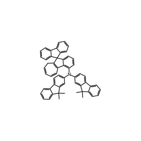 CC1(C)c2ccccc2-c2ccc(N(c3ccc4c(c3)C(C)(C)c3ccccc3-4)c3cccc4c3C3=C(CC=CC=C3)C43c4ccccc4-c4ccccc43)cc21